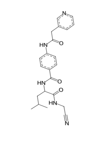 CC(C)CC(NC(=O)c1ccc(NC(=O)Cc2cccnc2)cc1)C(=O)NCC#N